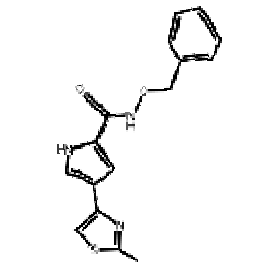 Cc1nc(-c2c[nH]c(C(=O)NOCc3ccccc3)c2)cs1